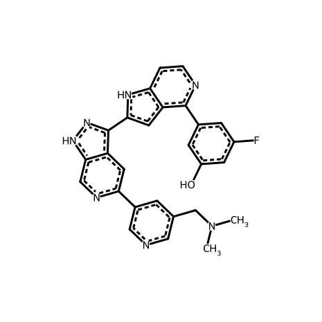 CN(C)Cc1cncc(-c2cc3c(-c4cc5c(-c6cc(O)cc(F)c6)nccc5[nH]4)n[nH]c3cn2)c1